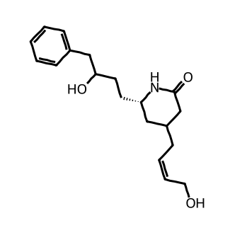 O=C1CC(C/C=C\CO)C[C@H](CCC(O)Cc2ccccc2)N1